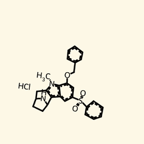 Cl.Cn1c2c(c3cc(S(=O)(=O)c4ccccc4)cc(OCc4ccccc4)c31)C1CCC(C2)N1